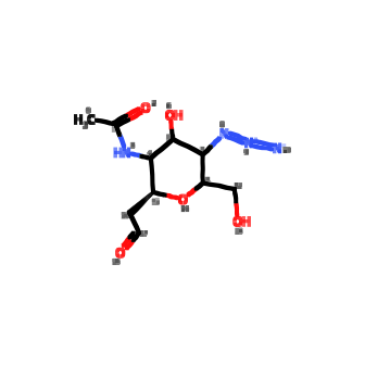 CC(=O)NC1C(O)C(N=[N+]=[N-])C(CO)O[C@H]1CC=O